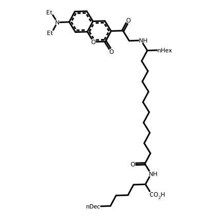 CCCCCCCCCCCCCCC(NC(=O)CCCCCCCCCCC(CCCCCC)NCC(=O)c1cc2ccc(N(CC)CC)cc2oc1=O)C(=O)O